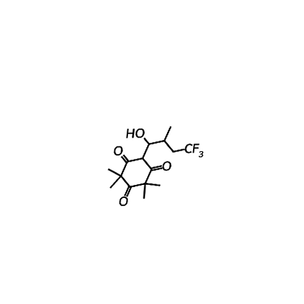 CC(CC(F)(F)F)C(O)C1C(=O)C(C)(C)C(=O)C(C)(C)C1=O